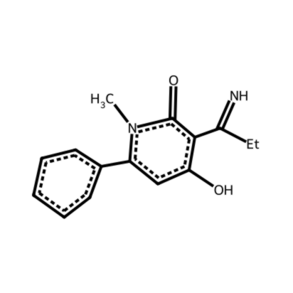 CCC(=N)c1c(O)cc(-c2ccccc2)n(C)c1=O